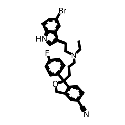 CCN(CCCC1(c2ccc(F)cc2)OCc2cc(C#N)ccc21)CCc1c[nH]c2ccc(Br)cc12